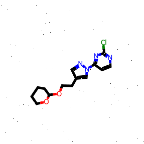 Clc1nccc(-n2cc(CCOC3CCCCO3)cn2)n1